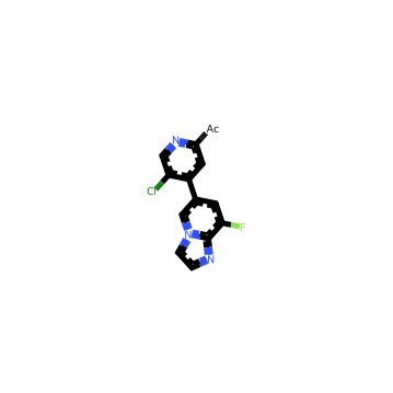 CC(=O)c1cc(-c2cc(F)c3nccn3c2)c(Cl)cn1